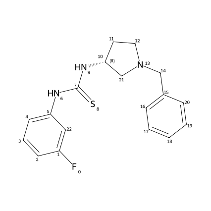 Fc1cccc(NC(=S)N[C@@H]2CCN(Cc3ccccc3)C2)c1